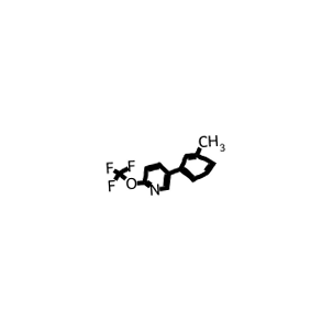 Cc1cccc(-c2ccc(OC(F)(F)F)nc2)c1